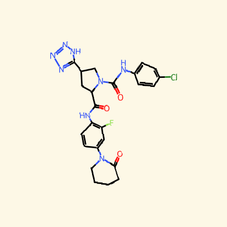 O=C(Nc1ccc(N2CCCCC2=O)cc1F)C1CC(c2nnn[nH]2)CN1C(=O)Nc1ccc(Cl)cc1